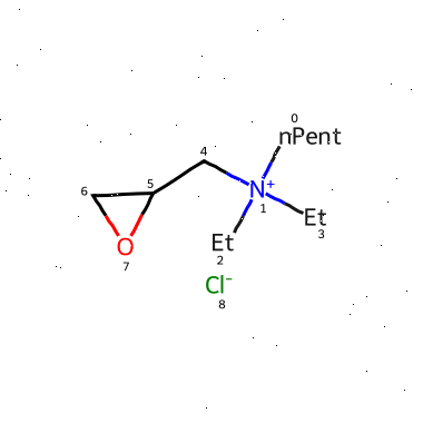 CCCCC[N+](CC)(CC)CC1CO1.[Cl-]